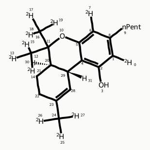 [2H]c1c(O)c2c(c([2H])c1CCCCC)OC(C([2H])([2H])[2H])(C([2H])([2H])[2H])[C@@H]1CCC(C([2H])([2H])[2H])=C[C@@H]21